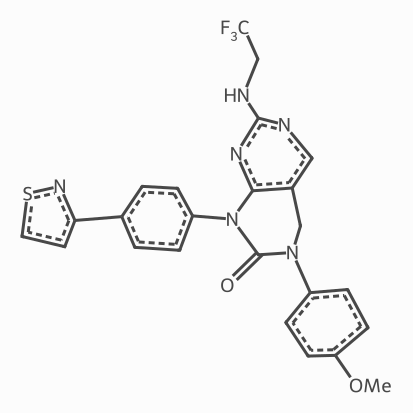 COc1ccc(N2Cc3cnc(NCC(F)(F)F)nc3N(c3ccc(-c4ccsn4)cc3)C2=O)cc1